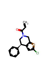 C=CC(=O)N1Cc2sc(Cl)cc2[C@@H](c2ccccc2)C1